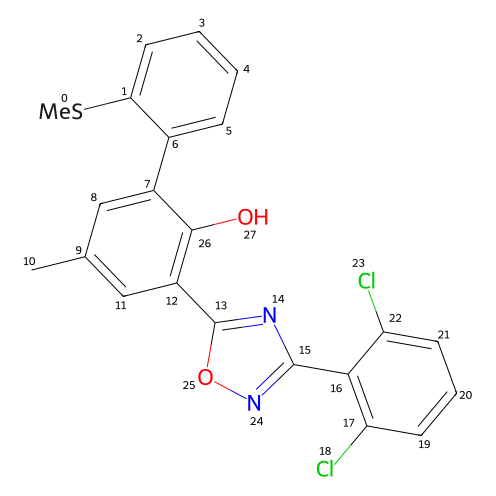 CSc1ccccc1-c1cc(C)cc(-c2nc(-c3c(Cl)cccc3Cl)no2)c1O